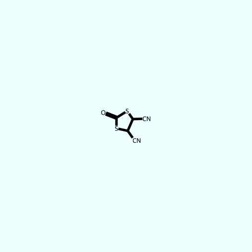 N#CC1SC(=O)SC1C#N